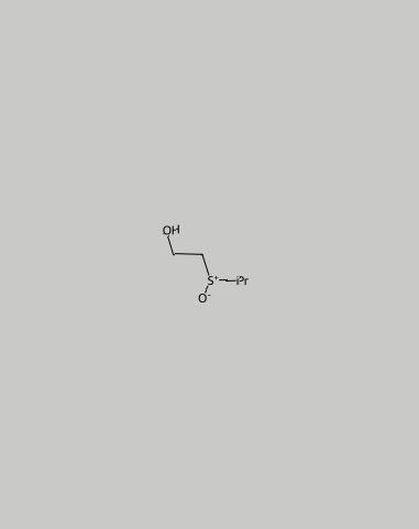 CC(C)[S+]([O-])CCO